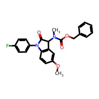 COc1ccc2c(c1)C(N(C)C(=O)OCc1ccccc1)C(=O)N2c1ccc(F)cc1